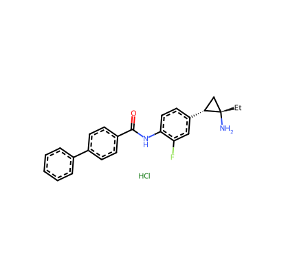 CC[C@]1(N)C[C@H]1c1ccc(NC(=O)c2ccc(-c3ccccc3)cc2)c(F)c1.Cl